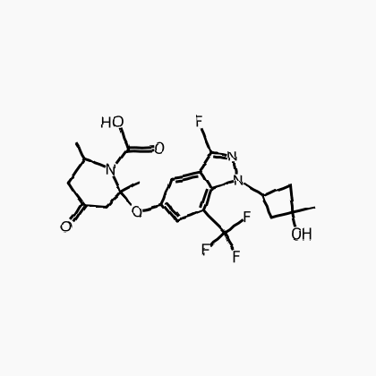 CC1CC(=O)CC(C)(Oc2cc(C(F)(F)F)c3c(c2)c(F)nn3C2CC(C)(O)C2)N1C(=O)O